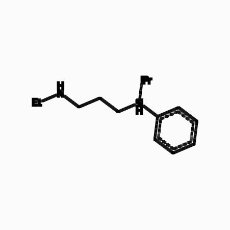 CCNCCC[SiH](c1ccccc1)C(C)C